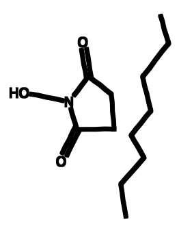 CCCCCCCC.O=C1CCC(=O)N1O